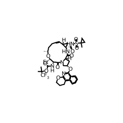 CC[C@@H]1O[C@H](C)CC/C=C\[C@@H]2C[C@@]2(C(=O)NS(=O)(=O)C2(C)CC2)NC(=O)[C@@H]2C[C@@H](Oc3nc4c(c5ccccc35)CCCO4)CN2C(=O)[C@H]1NC(=O)OC(C)(C)C(F)(F)F